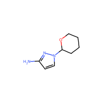 Nc1ccn(C2CCCCO2)n1